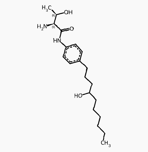 CCCCCCC(O)CCCc1ccc(NC(=O)[C@@H](N)[C@@H](C)O)cc1